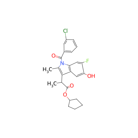 Cc1c(C(C)C(=O)OC2CCCC2)c2cc(O)c(F)cc2n1C(=O)c1cccc(Cl)c1